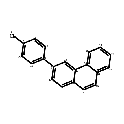 Clc1ccc(-c2ccc3ccc4ccccc4c3c2)cc1